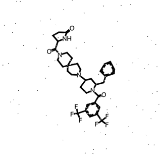 O=C1CCC(C(=O)N2CCC3(CC2)CCN(C2CCN(C(=O)c4cc(C(F)(F)F)cc(C(F)(F)F)c4)C(Cc4ccccc4)C2)CC3)N1